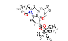 C[C@H]1CCc2c(ccc(B3OC(C)(C)C(C)(C)O3)c2OC2CCC2)N1C(=O)C1CC1